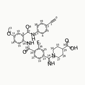 C#Cc1ccc(NC(=O)c2cc(OC)ccc2NC(=O)c2ccc(C(=N)N3CCC(C(=O)O)CC3)cc2F)cc1